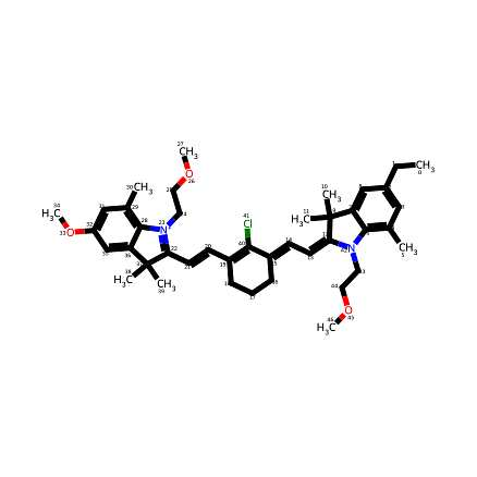 CCc1cc(C)c2c(c1)C(C)(C)/C(=C\C=C1/CCCC(/C=C/C3=[N+](CCOC)c4c(C)cc(OC)cc4C3(C)C)=C1Cl)N2CCOC